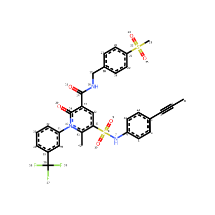 CC#Cc1ccc(NS(=O)(=O)c2cc(C(=O)NCc3ccc(S(C)(=O)=O)cc3)c(=O)n(-c3cccc(C(F)(F)F)c3)c2C)cc1